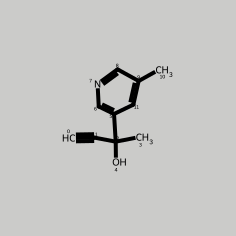 C#CC(C)(O)c1cncc(C)c1